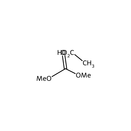 CC(=O)O.COC(=O)OC